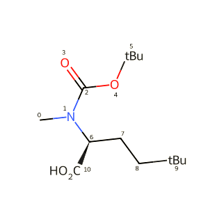 CN(C(=O)OC(C)(C)C)[C@@H](CCC(C)(C)C)C(=O)O